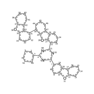 c1ccc(-c2nc(-c3ccc4oc5ccccc5c4c3)nc(-c3cccc4c3oc3c(-c5cccc6oc7ccccc7c56)cccc34)n2)cc1